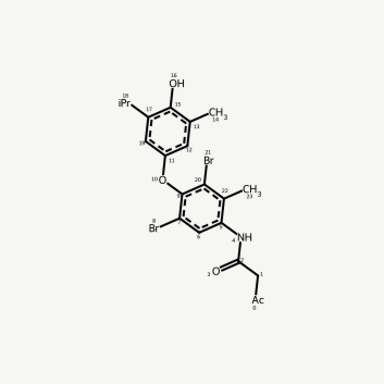 CC(=O)CC(=O)Nc1cc(Br)c(Oc2cc(C)c(O)c(C(C)C)c2)c(Br)c1C